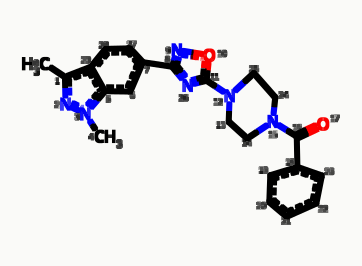 Cc1nn(C)c2cc(-c3noc(N4CCN(C(=O)c5ccccc5)CC4)n3)ccc12